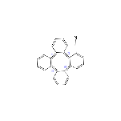 N#Cc1cccc2/c1=c1/cccc/c1=c1\cccc\c1=c1/cccc/c1=2